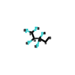 CCC(F)(F)C(F)[C](F)F